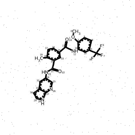 COc1ccc(C(F)(F)F)cc1NC(=O)c1ccc(C)c(C(=O)Nc2cnc3[nH]ccc3c2)c1